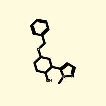 Cn1nccc1C1CC(OCc2ccccc2)CCC1O